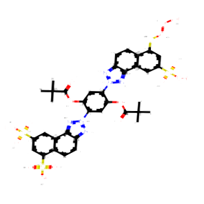 CC(C)(C)C(=O)Oc1cc(-n2nc3ccc4c(S(=O)(=O)O)cc(S(=O)(=O)O)cc4c3n2)c(OC(=O)C(C)(C)C)cc1-n1nc2ccc3c(SOOO)cc(S(=O)(=O)O)cc3c2n1